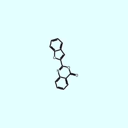 O=c1oc(-c2cc3ccccc3o2)nc2ccccc12